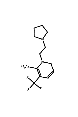 FC(F)(F)C1=C([AsH2])N(CCN2CCCC2)CC=C1